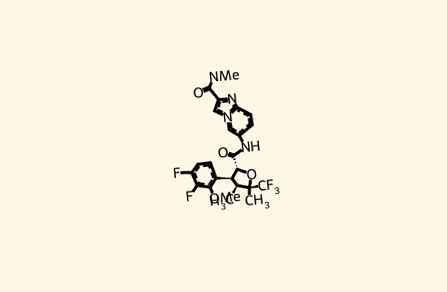 CNC(=O)c1cn2cc(NC(=O)[C@@H]3O[C@@](C)(C(F)(F)F)[C@@H](C)[C@H]3c3ccc(F)c(F)c3OC)ccc2n1